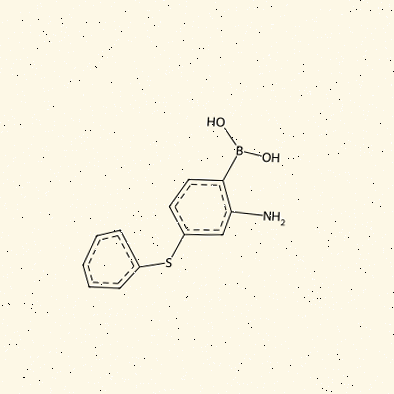 Nc1cc(Sc2ccccc2)ccc1B(O)O